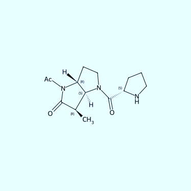 CC(=O)N1C(=O)[C@H](C)[C@H]2[C@H]1CCN2C(=O)[C@@H]1CCCN1